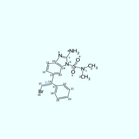 CN(C)S(=O)(=O)n1c(N)nc2ccc(/C(=C/Br)c3ccccc3)cc21